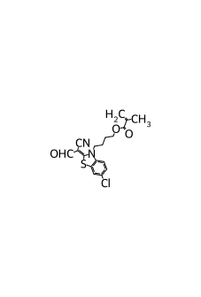 C=C(C)C(=O)OCCCCN1/C(=C(\C#N)C=O)Sc2cc(Cl)ccc21